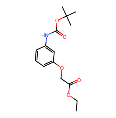 CCOC(=O)COc1cccc(NC(=O)OC(C)(C)C)c1